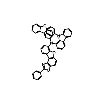 c1ccc(-c2nc3c(ccc4oc5c(N(c6ccc7oc8ccccc8c7c6)c6cccc7c8ccccc8n(-c8ccccc8)c67)cccc5c43)o2)cc1